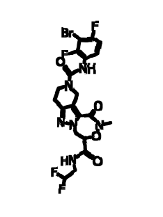 CN1OC(C(=O)NCC(F)F)Cn2nc3c(c2C1=O)CN(C(=O)Nc1ccc(F)c(Br)c1F)CC3